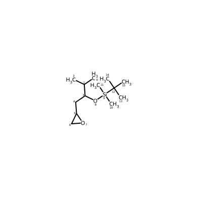 CC(C)C(CC1CO1)O[Si](C)(C)C(C)(C)C